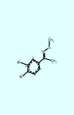 CON=C(C)c1ccc(Br)c(Br)c1